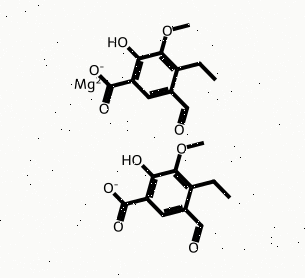 CCc1c(C=O)cc(C(=O)[O-])c(O)c1OC.CCc1c(C=O)cc(C(=O)[O-])c(O)c1OC.[Mg+2]